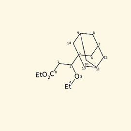 CCOC(=O)CC(OCC)C12CC3CC(CC(C3)C1)C2